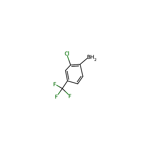 Bc1ccc(C(F)(F)F)cc1Cl